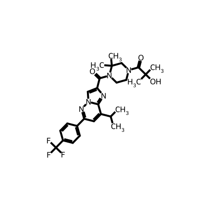 CC(C)c1cc(-c2ccc(C(F)(F)F)cc2)nn2cc(C(=O)N3CCN(C(=O)C(C)(C)O)CC3(C)C)nc12